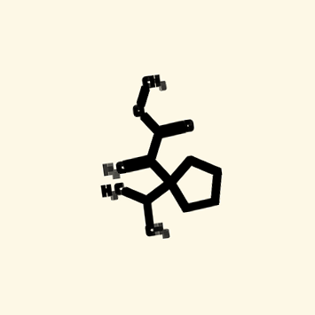 C=C(C(=O)OC)C1(C(C)C)CCCC1